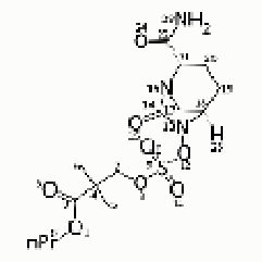 CCCOC(=O)C(C)(C)COS(=O)(=O)ON1C(=O)N2C[C@H]1CC[C@H]2C(N)=O